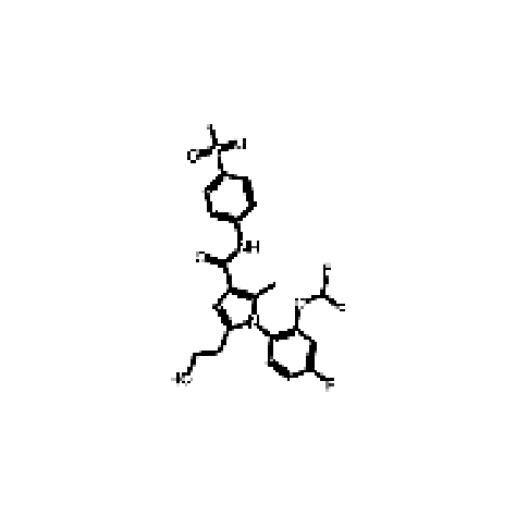 Cc1c(C(=O)Nc2ccc(S(C)(=O)=O)cc2)cc(CCO)n1-c1ccc(F)cc1OC(F)F